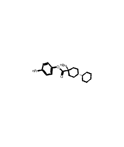 CCCC[C@]1(C(=O)Oc2ccc(CCC)cc2)CC[C@@H](C2CCCCC2)CC1